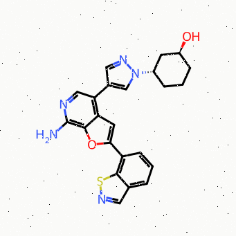 Nc1ncc(-c2cnn([C@H]3CCC[C@H](O)C3)c2)c2cc(-c3cccc4cnsc34)oc12